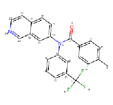 Cc1ccc(C(=O)N(c2cccc(C(F)(F)F)c2)c2ccc3ccncc3c2)cc1